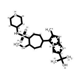 COC1CCC(c2c(C)nc3sc(C(C)(C)O)cn23)CCC1S(=O)(=O)NC1CCOCC1